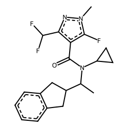 CC(C1Cc2ccccc2C1)N(C(=O)c1c(C(F)F)nn(C)c1F)C1CC1